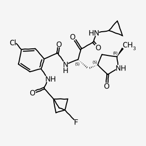 C[C@@H]1C[C@@H](C[C@H](NC(=O)c2cc(Cl)ccc2NC(=O)C23CC(F)(C2)C3)C(=O)C(=O)NC2CC2)C(=O)N1